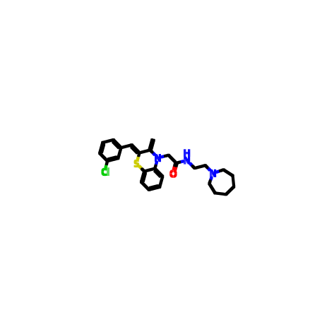 C=C1/C(=C/c2cccc(Cl)c2)Sc2ccccc2N1CC(=O)NCCN1CCCCCC1